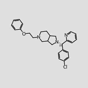 Clc1ccc([C@@H](c2ccccn2)N2CC3CCN(CCOc4ccccc4)CC3C2)cc1